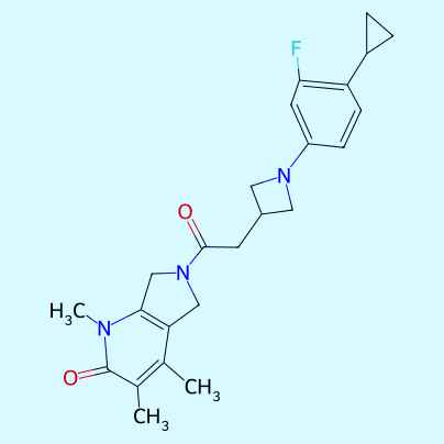 Cc1c2c(n(C)c(=O)c1C)CN(C(=O)CC1CN(c3ccc(C4CC4)c(F)c3)C1)C2